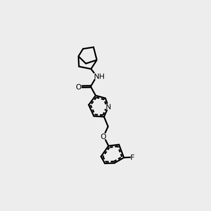 O=C(NC1CC2CCC1C2)c1ccc(COc2cccc(F)c2)nc1